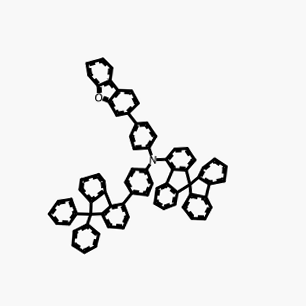 c1ccc(C2(c3ccccc3)c3ccccc3-c3c(-c4ccc(N(c5ccc(-c6ccc7c(c6)oc6ccccc67)cc5)c5cccc6c5-c5ccccc5C65c6ccccc6-c6ccccc65)cc4)cccc32)cc1